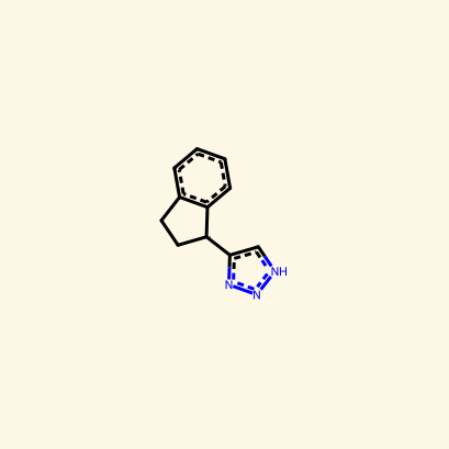 c1ccc2c(c1)CC[C]2c1c[nH]nn1